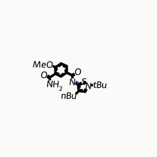 CCCCc1cn(C(C)(C)C)s/c1=N\C(=O)c1ccc(OC)c(C(N)=O)c1